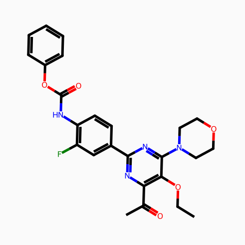 CCOc1c(C(C)=O)nc(-c2ccc(NC(=O)Oc3ccccc3)c(F)c2)nc1N1CCOCC1